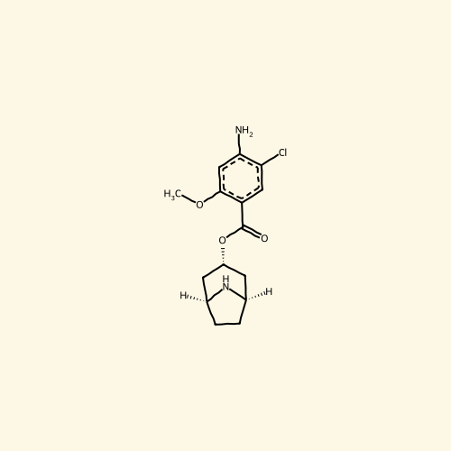 COc1cc(N)c(Cl)cc1C(=O)O[C@@H]1C[C@H]2CC[C@@H](C1)N2